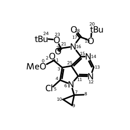 COC(=O)c1c(Cl)n(C2(C)CC2)c2ncnc(N(C(=O)OC(C)(C)C)C(=O)OC(C)(C)C)c12